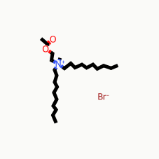 CCCCCCCCCC[N+](C)(CCCCCCCCCC)CCOC(C)=O.[Br-]